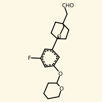 O=CCC12CCC(c3cc(F)cc(OC4CCCCO4)c3)(CC1)OC2